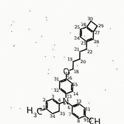 CC1=CC=C(N(c2ccc(C)cc2)c2ccc(OCCCCCc3ccc4c(c3)CC4)cc2)CC1